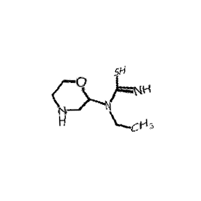 CCN(C(=N)S)C1CNCCO1